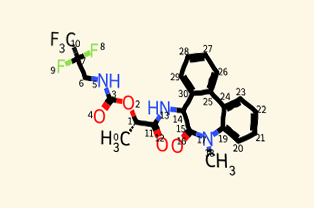 C[C@H](OC(=O)NCC(F)(F)C(F)(F)F)C(=O)NC1C(=O)N(C)c2ccccc2-c2ccccc21